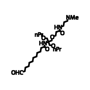 CCCOCC(COCCC)(COCCC(=O)NCCCNC)NC(=O)CCCCCCCCCCC=O